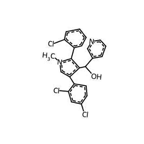 Cn1cc(-c2ccc(Cl)cc2Cl)c(C(O)c2cccnc2)c1-c1ccccc1Cl